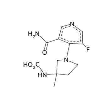 CC1(NC(=O)O)CCN(c2c(F)cncc2C(N)=O)C1